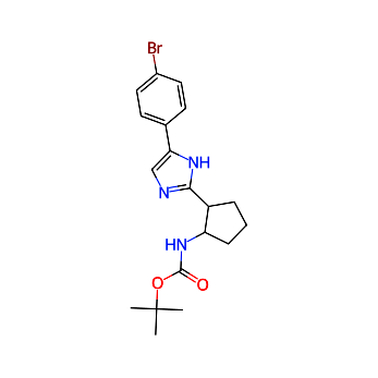 CC(C)(C)OC(=O)NC1CCCC1c1ncc(-c2ccc(Br)cc2)[nH]1